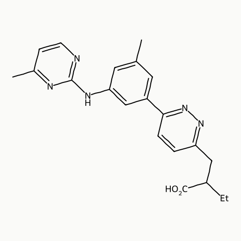 CCC(Cc1ccc(-c2cc(C)cc(Nc3nccc(C)n3)c2)nn1)C(=O)O